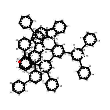 c1ccc(-c2ccc3c(c2)c2ccc(-c4cccc(-c5ccccc5)n4)cc2n3-c2c(-c3cc(-c4ccccc4)nc(-c4ccccc4)n3)cc(-c3cc(-c4ccccc4)nc(-c4ccccc4)n3)cc2-n2c3ccccc3c3ccc(-c4cccc(-c5ccccc5)n4)cc32)cc1